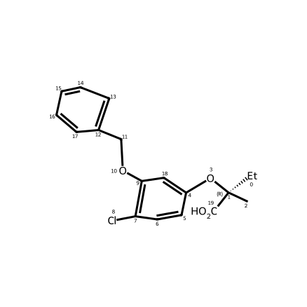 CC[C@@](C)(Oc1ccc(Cl)c(OCc2ccccc2)c1)C(=O)O